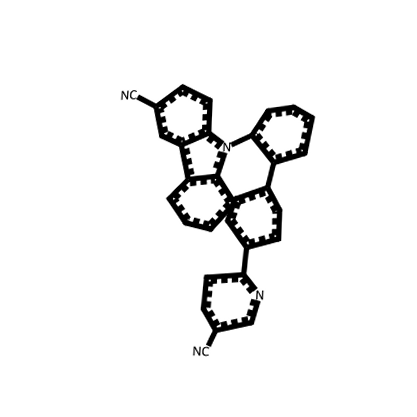 N#Cc1ccc(-c2ccc(-c3ccccc3-n3c4ccccc4c4cc(C#N)ccc43)cc2)nc1